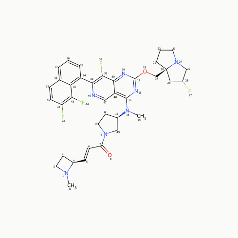 CN1CC[C@H]1/C=C/C(=O)N1CC[C@@H](N(C)c2nc(OC[C@@]34CCCN3C[C@H](F)C4)nc3c(F)c(-c4cccc5ccc(F)c(F)c45)ncc23)C1